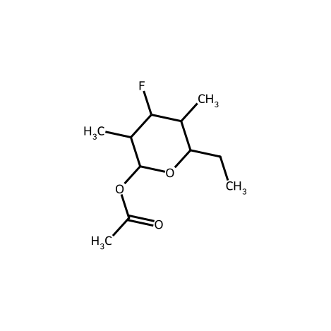 CCC1OC(OC(C)=O)C(C)C(F)C1C